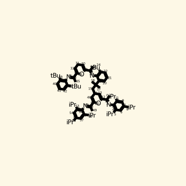 C/C(=N\c1c(C(C)C)cc(C(C)C)cc1C(C)C)C1=CC(CC(C)(C)c2cccc(C(C)(C)C)c2/N=C(\C)C2=CCC=C(/C(C)=N/c3c(C(C)(C)C)cccc3C(C)(C)C)O2)C=C(/C(C)=N/c2c(C(C)C)cc(C(C)C)cc2C(C)C)O1